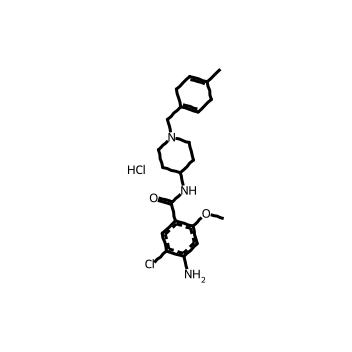 COc1cc(N)c(Cl)cc1C(=O)NC1CCN(CC2=CCC(C)=CC2)CC1.Cl